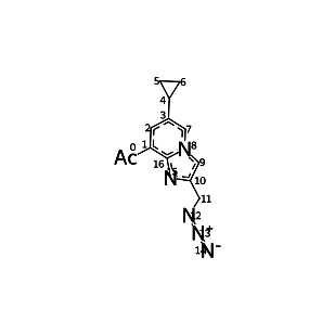 CC(=O)c1cc(C2CC2)cn2cc(CN=[N+]=[N-])nc12